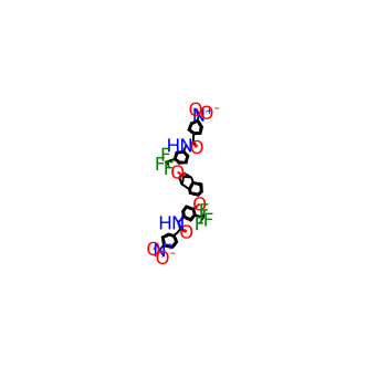 O=C(Nc1ccc(Oc2ccc3c(c2)C2CCC3C2Oc2ccc(NC(=O)c3ccc([N+](=O)[O-])cc3)cc2C(F)(F)F)c(C(F)(F)F)c1)c1ccc([N+](=O)[O-])cc1